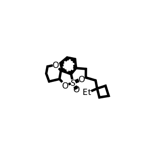 CCC1(CCCc2ccccc2S(=O)(=O)OC2CCCOC2)CCC1